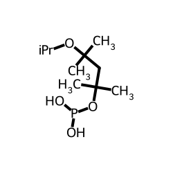 CC(C)OC(C)(C)CC(C)(C)OP(O)O